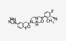 Cc1c([C@@H]2CN3CCN(C(=O)Cc4cc(-n5cnnn5)ccc4F)C[C@@H]3CO2)ccc(F)c1C#N